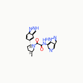 C[C@H]1CC[C@H](c2ccc3n[nH]cc3c2)N(C(=O)C(=O)Nc2cncc3cn[nH]c23)C1